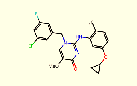 COc1cn(Cc2cc(F)cc(Cl)c2)c(Nc2cc(OC3CC3)ccc2C)nc1=O